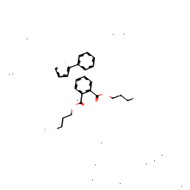 CCCCOC(=O)c1ccccc1C(=O)OCCCC.c1ccc(-c2ccc[se]2)cc1